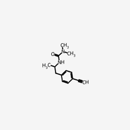 C#Cc1ccc(CC(C)NC(=O)N(C)C)cc1